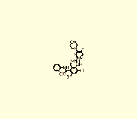 O=C(Nc1ccccc1Cl)c1c(Br)cc(Cl)c(O)c1/C=N\Nc1ncc(F)c(N2CCOCC2)n1